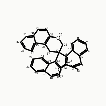 COc1ccc2ccccc2c1C1(c2c(OC)ccc3ccccc23)COc2ccc3ccccc3c2C1